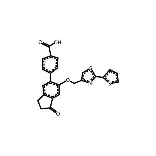 O=C(O)c1ccc(-c2cc3c(cc2OCc2csc(-c4cccs4)n2)C(=O)CC3)cc1